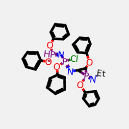 CCN=P1(Oc2ccccc2)C(N=P(Cl)(N=[PH](Oc2ccccc2)Oc2ccccc2)Oc2ccccc2)C1Oc1ccccc1